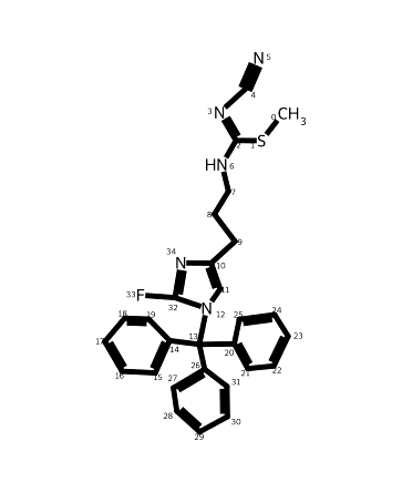 CSC(=NC#N)NCCCc1cn(C(c2ccccc2)(c2ccccc2)c2ccccc2)c(F)n1